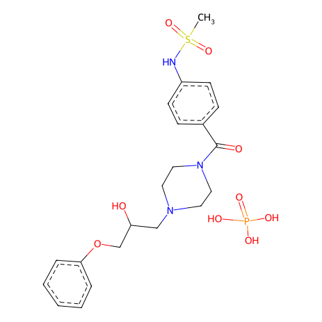 CS(=O)(=O)Nc1ccc(C(=O)N2CCN(CC(O)COc3ccccc3)CC2)cc1.O=P(O)(O)O